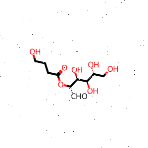 O=C[C@H](OC(=O)CCCO)[C@@H](O)[C@H](O)[C@H](O)CO